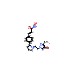 Cc1nn(CCN2CCC[C@H]2c2ccc(/C=C/C(=O)NO)cc2)cc1Br